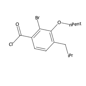 CCCCCOc1c(CC(C)C)ccc(C(=O)Cl)c1Br